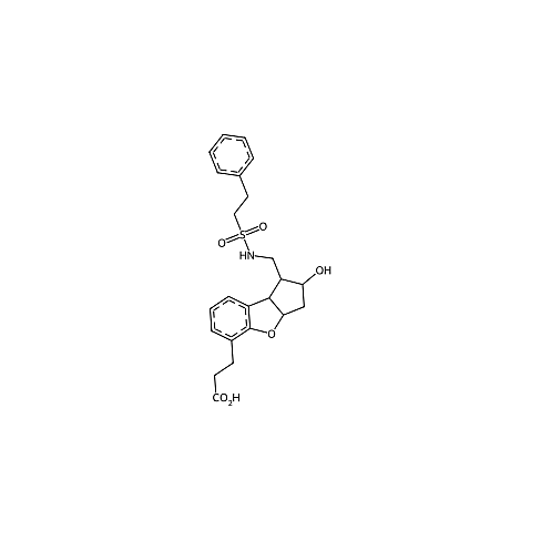 O=C(O)CCc1cccc2c1OC1CC(O)C(CNS(=O)(=O)CCc3ccccc3)C21